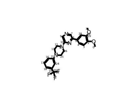 COc1ccc(-c2cncc(N3CCN(c4cccc(C(F)(F)F)c4)CC3)n2)cc1OC